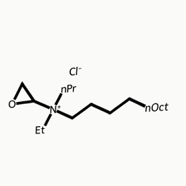 CCCCCCCCCCCC[N+](CC)(CCC)C1CO1.[Cl-]